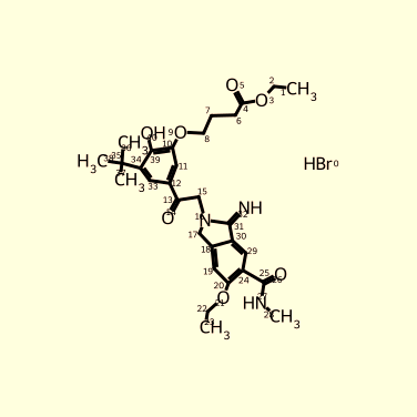 Br.CCOC(=O)CCCOc1cc(C(=O)CN2Cc3cc(OCC)c(C(=O)NC)cc3C2=N)cc(C(C)(C)C)c1O